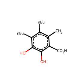 CCCCc1c(C)c(C(=O)O)c(O)c(O)c1CCCC